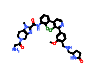 COc1cc(-c2nccc(-c3cccc(NC(=O)c4nc5c(n4C)CCN(C(=O)CN)C5)c3Cl)c2Cl)ccc1CNCC1CCC(=O)N1